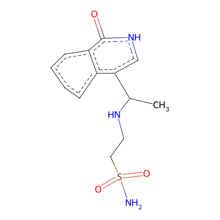 CC(NCCS(N)(=O)=O)c1c[nH]c(=O)c2ccccc12